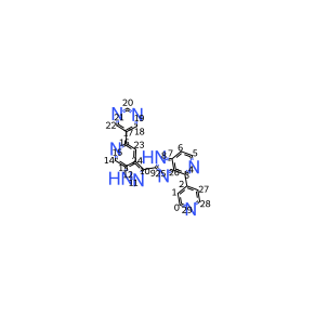 c1cc(-c2nccc3[nH]c(-c4n[nH]c5cnc(-c6cncnc6)cc45)nc23)ccn1